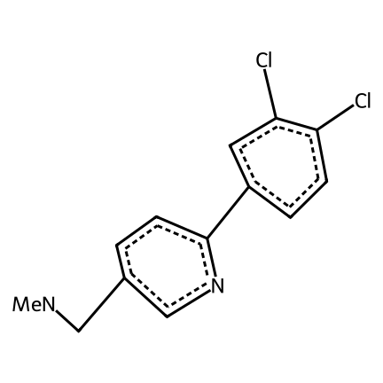 CNCc1ccc(-c2ccc(Cl)c(Cl)c2)nc1